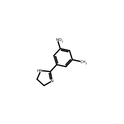 Cc1cc(C2=NCCN2)cc([N+](=O)[O-])c1